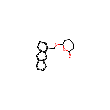 O=C1CCCCC(OCc2cccc3cc4ccccc4cc23)O1